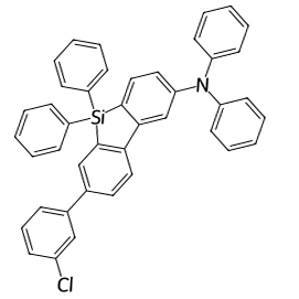 Clc1cccc(-c2ccc3c(c2)[Si](c2ccccc2)(c2ccccc2)c2ccc(N(c4ccccc4)c4ccccc4)cc2-3)c1